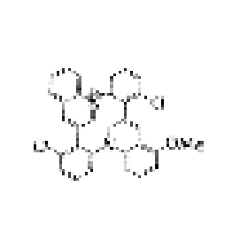 COc1cccc2c1C=C(c1c(Cl)cccc1Br)CN2c1cccc(Cl)c1-c1cnc2ccccc2c1